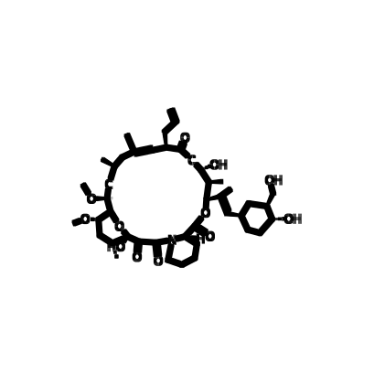 C=CC[C@@H]1/C=C(\C)C[C@H](C)C[C@H](OC)C2O[C@@](O)(C(=O)C(=O)N3CCCC[C@H]3C(=O)O[C@H](/C(C)=C/[C@@H]3CC[C@@H](O)[C@H](CO)C3)[C@H](C)[C@@H](O)CC1=O)[C@H](C)C[C@@H]2OC